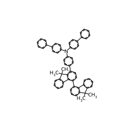 CC1(C)c2ccccc2-c2c(-c3ccc(-c4ccc(N(c5ccc(-c6ccccc6)cc5)c5ccc(-c6ccccc6)cc5)cc4)c4c3-c3ccccc3C4(C)C)cccc21